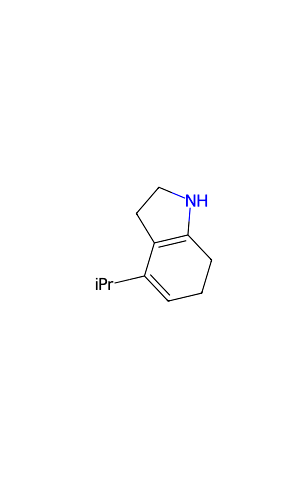 CC(C)C1=CCCC2=C1CCN2